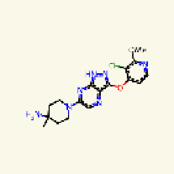 COc1nccc(Oc2n[nH]c3nc(N4CCC(C)(N)CC4)cnc23)c1Cl